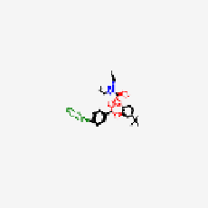 CCN(CC)C(=O)Oc1ccc(C(C)(C)C)cc1OC(=O)c1ccc(Cl)cc1